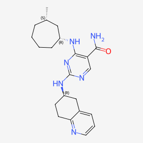 C[C@H]1CCCC[C@@H](Nc2nc(N[C@@H]3CCc4ncccc4C3)ncc2C(N)=O)C1